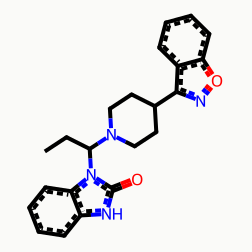 CCC(N1CCC(c2noc3ccccc23)CC1)n1c(=O)[nH]c2ccccc21